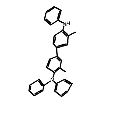 Cc1cc(-c2ccc(N(c3ccccc3)c3ccccc3)c(C)c2)ccc1Nc1ccccc1